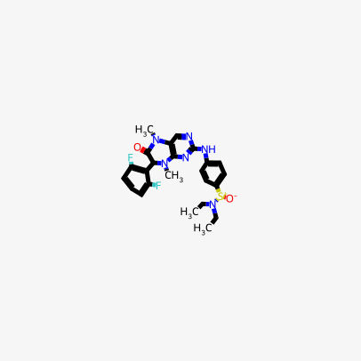 CCN(CC)[S+]([O-])c1ccc(Nc2ncc3c(n2)N(C)C(c2c(F)cccc2F)C(=O)N3C)cc1